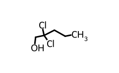 CCCC(Cl)(Cl)CO